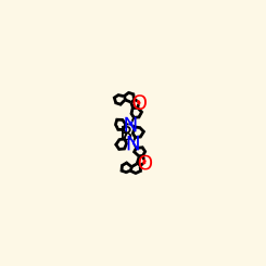 c1ccc2c(c1)B1c3ccccc3N(c3ccc4oc5ccc6ccccc6c5c4c3)c3cccc(c31)N2c1ccc2oc3ccc4ccccc4c3c2c1